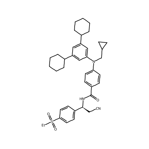 CCS(=O)(=O)c1ccc([C@H](CC#N)NC(=O)c2ccc(N(CC3CC3)c3cc(C4CCCCC4)cc(C4CCCCC4)c3)cc2)cc1